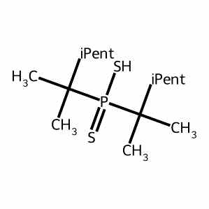 CCCC(C)C(C)(C)P(=S)(S)C(C)(C)C(C)CCC